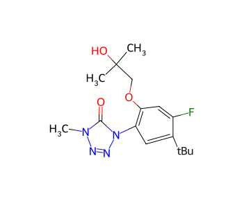 Cn1nnn(-c2cc(C(C)(C)C)c(F)cc2OCC(C)(C)O)c1=O